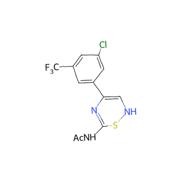 CC(=O)NC1=NC(c2cc(Cl)cc(C(F)(F)F)c2)=CNS1